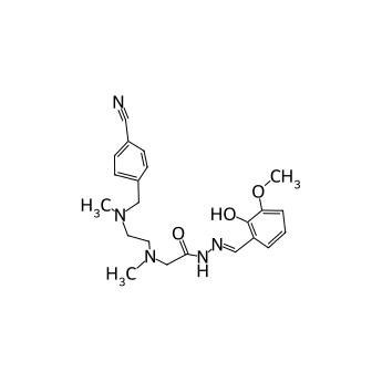 COc1cccc(/C=N/NC(=O)CN(C)CCN(C)Cc2ccc(C#N)cc2)c1O